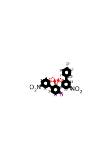 O=[N+]([O-])c1ccc(OOOc2ccc([N+](=O)[O-])cc2-c2ccc(I)cc2)c(-c2ccc(I)cc2)c1